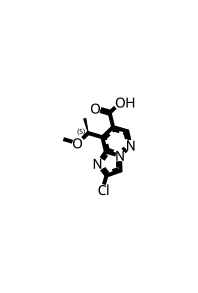 CO[C@@H](C)c1c(C(=O)O)cnn2cc(Cl)nc12